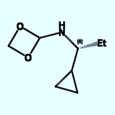 CC[C@@H](NC1OCO1)C1CC1